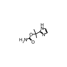 CC(C)(OC(N)=O)c1ncc[nH]1